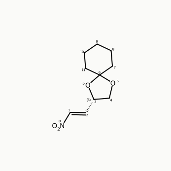 O=[N+]([O-])C=C[C@H]1COC2(CCCCC2)O1